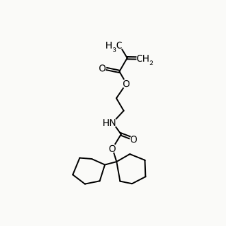 C=C(C)C(=O)OCCNC(=O)OC1(C2CCCCC2)CCCCC1